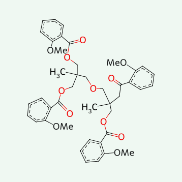 COc1ccccc1C(=O)CC(C)(COCC(C)(COC(=O)c1ccccc1OC)COC(=O)c1ccccc1OC)COC(=O)c1ccccc1OC